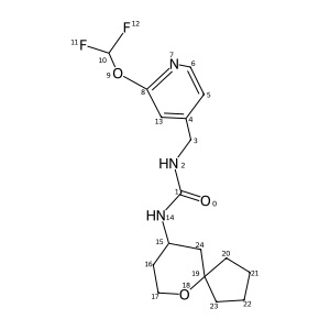 O=C(NCc1ccnc(OC(F)F)c1)NC1CCOC2(CCCC2)C1